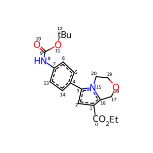 CCOC(=O)c1cc(-c2ccc(NC(=O)OC(C)(C)C)cc2)n2c1COCC2